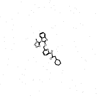 Cn1nnnc1-n1c(OCc2cccc(NC(=O)CC3CCCCC3)n2)nc2ccccc21